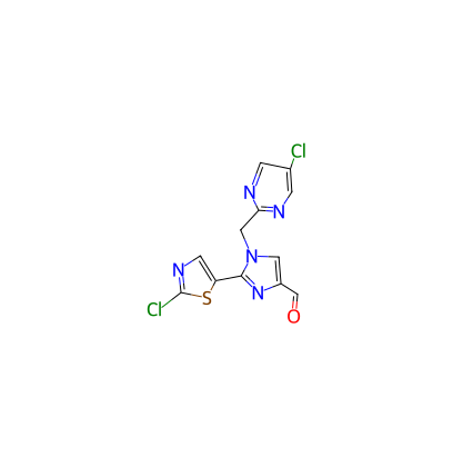 O=Cc1cn(Cc2ncc(Cl)cn2)c(-c2cnc(Cl)s2)n1